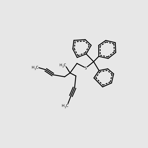 CC#CCC(C)(CC#CC)CSC(c1ccccc1)(c1ccccc1)c1ccccc1